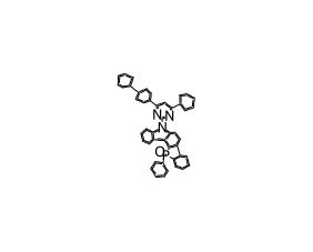 O=P1(c2ccccc2)c2ccccc2-c2ccc3c(c21)c1ccccc1n3-c1nc(-c2ccccc2)cc(-c2ccc(-c3ccccc3)cc2)n1